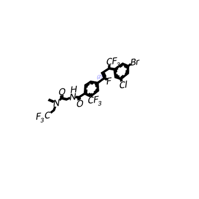 CN(CC(F)(F)F)C(=O)CNC(=O)c1ccc(/C(F)=C/C(c2cc(Cl)cc(Br)c2)C(F)(F)F)cc1C(F)(F)F